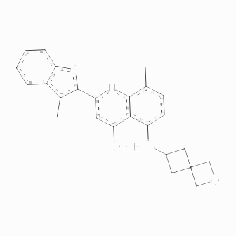 Cc1c(-c2cc(C(=O)O)c3c(OC4CC5(COC5)C4)ccc(C)c3n2)sc2ccccc12